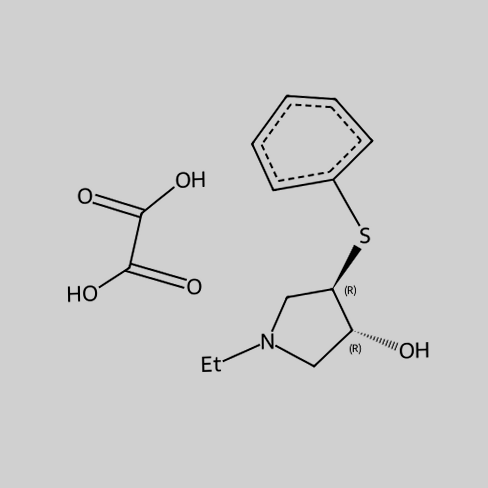 CCN1C[C@@H](O)[C@H](Sc2ccccc2)C1.O=C(O)C(=O)O